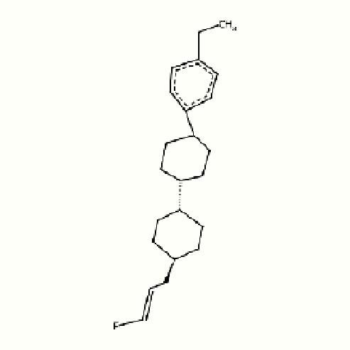 CCc1ccc(C2CCC([C@H]3CC[C@H](C/C=C/F)CC3)CC2)cc1